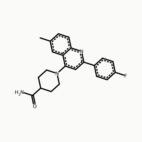 Cc1ccc2nc(-c3ccc(F)cc3)cc(N3CCC(C(N)=O)CC3)c2c1